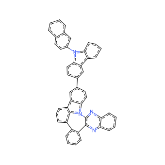 c1ccc2c(c1)-c1nc3ccccc3nc1-n1c3ccc(-c4ccc5c(c4)c4ccccc4n5-c4ccc5ccccc5c4)cc3c3cccc-2c31